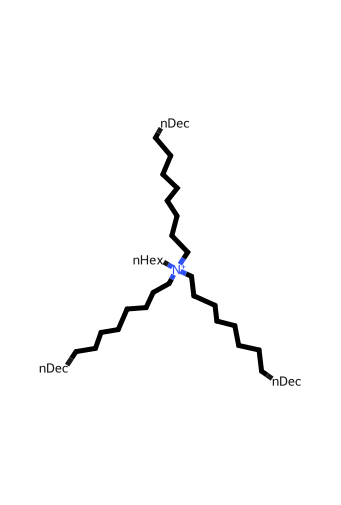 CCCCCCCCCCCCCCCCCC[N+](CCCCCC)(CCCCCCCCCCCCCCCCCC)CCCCCCCCCCCCCCCCCC